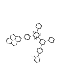 C1=CNC(c2ccc(-c3cc(-c4ccccc4)cc(-c4nc(-c5ccccc5)nc(-c5ccc(C6=CC7=CC=C8C=CCC9CCC(=C6)C7C89)cc5)n4)c3)cc2)C=C1